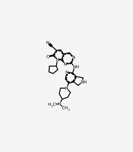 CN(C)C1CCN(c2cnc(Nc3ncc4cc(C#N)c(=O)n(C5CCCC5)c4n3)c3c2CNC3)CC1